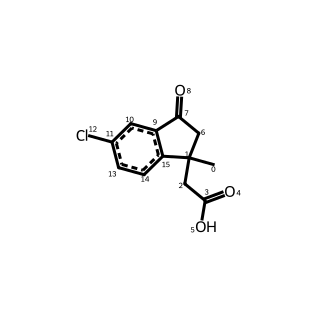 CC1(CC(=O)O)CC(=O)c2cc(Cl)ccc21